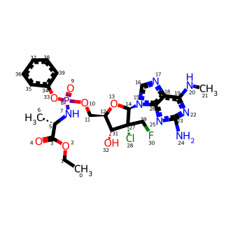 CCOC(=O)[C@H](C)NP(=O)(OC[C@H]1O[C@@H](n2cnc3c(NC)nc(N)nc32)[C@@](Cl)(CF)[C@@H]1O)Oc1ccccc1